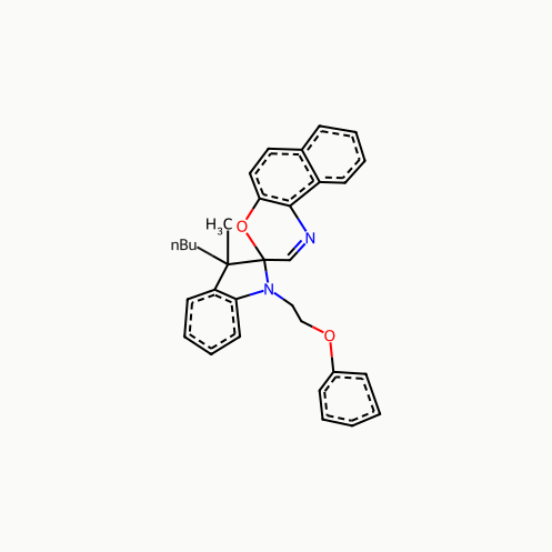 CCCCC1(C)c2ccccc2N(CCOc2ccccc2)C12C=Nc1c(ccc3ccccc13)O2